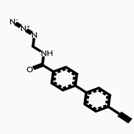 C#Cc1ccc(-c2ccc(C(=O)NCN=[N+]=[N-])cc2)cc1